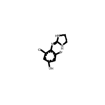 Oc1cc(Cl)c(N=C2NCCN2)c(Br)c1